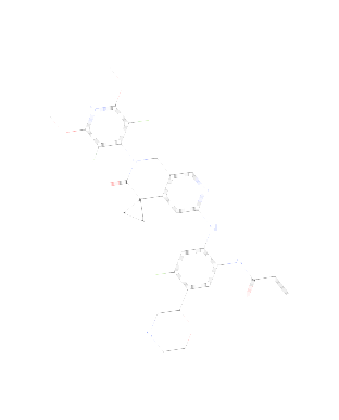 C=CC(=O)Nc1cc(C2CNCCO2)c(F)cc1Nc1cc2c(cn1)CN(c1c(F)c(OC)nc(OC)c1F)C(=O)C21CC1